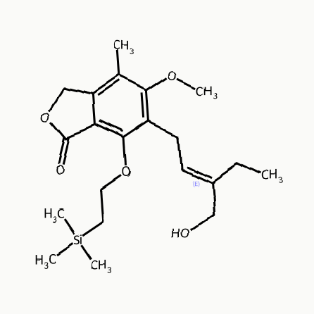 CC/C(=C\Cc1c(OC)c(C)c2c(c1OCC[Si](C)(C)C)C(=O)OC2)CO